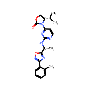 Cc1ccccc1-c1noc([C@@H](C)Nc2nccc(N3C(=O)OC[C@@H]3C(C)C)n2)n1